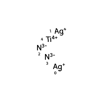 [Ag+].[Ag+].[N-3].[N-3].[Ti+4]